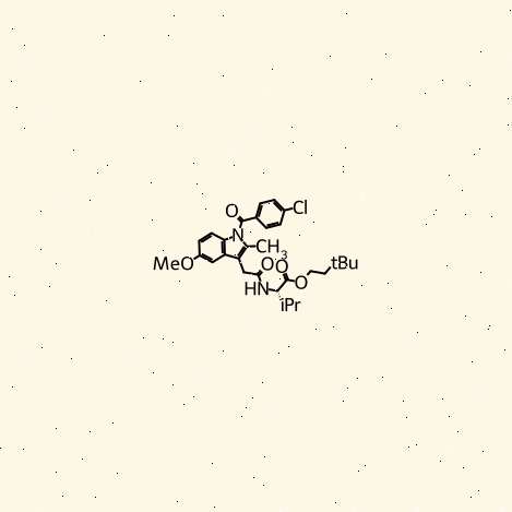 COc1ccc2c(c1)c(CC(=O)N[C@H](C(=O)OCCC(C)(C)C)C(C)C)c(C)n2C(=O)c1ccc(Cl)cc1